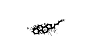 CC(C)CCC[C@@H](C)[C@]1(O)CC[C@H]2[C@@H]3CC=C4C(C)(C)CCC[C@]4(C)[C@H]3CC[C@@]21C